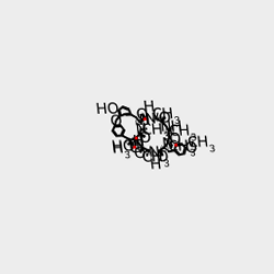 COc1ccc(C[C@H]2C(=O)N[C@@H](C)C(=O)N(C)[C@@H]3C(=O)N(C)[C@@H](Cc4ccc(O)c(c4)Oc4ccc(cc4)[C@@H]3O)C(=O)N[C@@H](C)C(=O)N[C@@H](C)C(=O)N2C)cc1